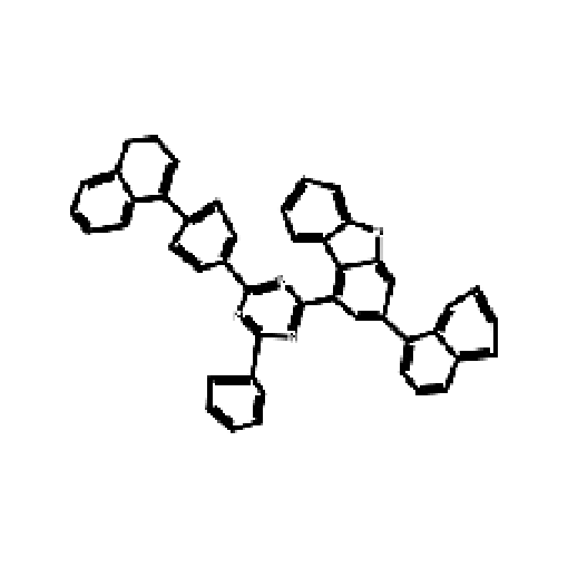 C1=C(c2ccc(-c3nc(-c4ccccc4)nc(-c4cc(-c5cccc6ccccc56)cc5oc6ccccc6c45)n3)cc2)c2ccccc2CC1